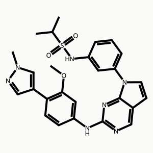 COc1cc(Nc2ncc3ccn(-c4cccc(NS(=O)(=O)C(C)C)c4)c3n2)ccc1-c1cnn(C)c1